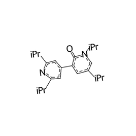 CC(C)c1cc(-c2cc(C(C)C)nc(C(C)C)c2)c(=O)n(C(C)C)c1